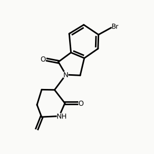 C=C1CCC(N2Cc3cc(Br)ccc3C2=O)C(=O)N1